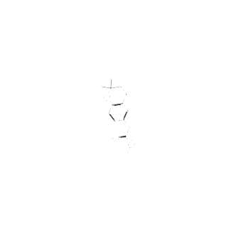 COC(=O)Cc1ccc2c(c1)CCC(C)(C)O2